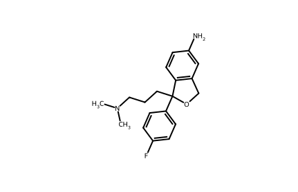 CN(C)CCCC1(c2ccc(F)cc2)OCc2cc(N)ccc21